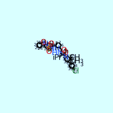 CC(C)[C@@H](NC(=O)c1cccc(C(=O)NS(=O)(=O)Cc2noc3ccccc23)c1)C(=O)N1CC[C@H](c2ccc(Cl)cc2)C(C)(C)C1